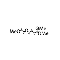 COCCOCCCC(OC)OC